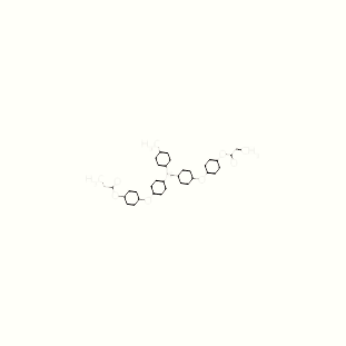 C=CC(=O)Oc1ccc(Oc2ccc(N(c3ccc(C)cc3)c3ccc(Oc4ccc(OC(=O)CC)cc4)cc3)cc2)cc1